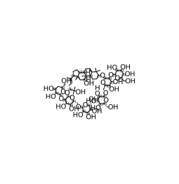 C[C@H](CC[C@@H](O[C@@H]1O[C@H](CO[C@@H]2O[C@H](CO)[C@@H](O)[C@H](O)[C@H]2O)[C@@H](O)[C@H](O)[C@H]1O[C@@H]1O[C@H](CO)C[C@H](O)[C@H]1O)C(C)(C)O)[C@H]1CC[C@@]2(C)[C@@H]3CC=C4[C@@H](CC[C@H](O[C@@H]5O[C@H](CO[C@@H]6O[C@H](CO)[C@@H](O)[C@H](O)[C@H]6O)[C@@H](O)[C@H](O)[C@H]5O[C@@H]5O[C@H](CO)[C@@H](O)[C@H](O)[C@H]5O)C4(C)C)[C@]3(C)[C@H](O)C[C@]12C